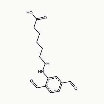 O=Cc1ccc(C=O)c(NNCCCCCC(=O)O)c1